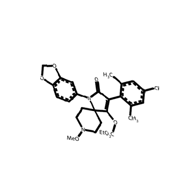 CCOC(=O)OC1=C(c2c(C)cc(Cl)cc2C)C(=O)N(c2ccc3c(c2)OCO3)C12CCN(OC)CC2